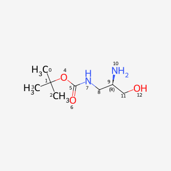 CC(C)(C)OC(=O)NC[C@@H](N)CO